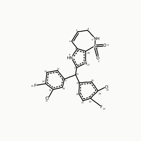 O=S1(=O)NCC=Cc2[nH]c(C(c3ccc(F)c(Cl)c3)c3ccc(F)c(Cl)c3)nc21